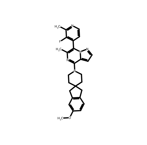 COc1ccc2c(c1)CC1(CCN(c3nc(C)c(-c4ccnc(C)c4F)n4nccc34)CC1)C2